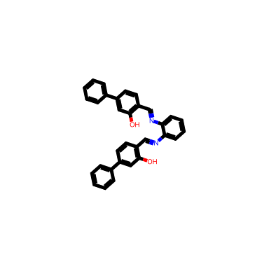 Oc1cc(-c2ccccc2)ccc1/C=N/c1ccccc1/N=C/c1ccc(-c2ccccc2)cc1O